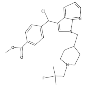 COC(=O)c1ccc(C(Cl)c2cn(CC3CCN(CC(C)(C)F)CC3)c3ncccc23)cc1